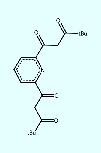 CC(C)(C)C(=O)CC(=O)c1cccc(C(=O)CC(=O)C(C)(C)C)n1